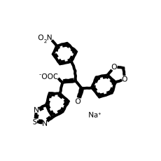 O=C([O-])/C(=C(\Cc1ccc([N+](=O)[O-])cc1)C(=O)c1ccc2c(c1)OCO2)c1ccc2nsnc2c1.[Na+]